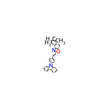 CC(C)(C)c1ccc2oc(/C=C/c3ccc(-n4c5ccccc5c5ccccc54)cc3)nc2c1